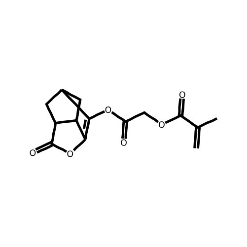 C=C(C)C(=O)OCC(=O)OC1=C2OC(=O)C3CC1CC23